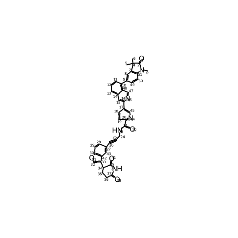 CN1C(=O)C(C)(C)c2cc(-c3cccc4cc(-c5ccc(C(=O)NCC#Cc6ccc7occ(C8CCC(=O)NC8=O)c7c6)nc5)ncc34)ccc21